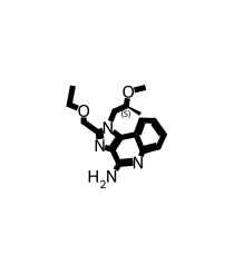 CCOCc1nc2c(N)nc3ccccc3c2n1C[C@H](C)OC